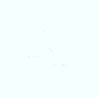 COc1cccc(-c2[nH]c3ccc(Cl)cc3c(=O)c2C(=O)O)c1